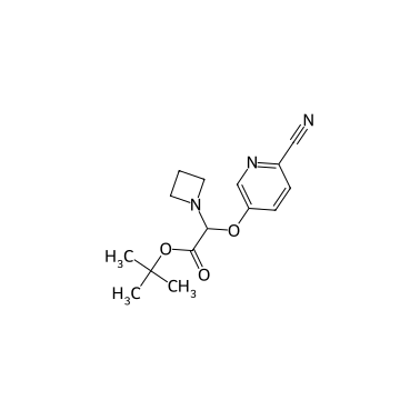 CC(C)(C)OC(=O)C(Oc1ccc(C#N)nc1)N1CCC1